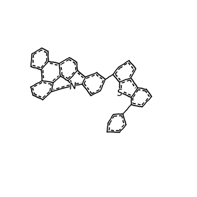 c1ccc(-c2cccc3c2sc2c(-c4ccc5c(c4)c4ccc6c7ccccc7c7cccc8c7c6c4n58)cccc23)cc1